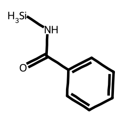 O=C(N[SiH3])c1ccccc1